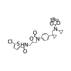 CC(C)(C)OC(=O)N(CC1(c2ccc(N3CC(CNC(=O)c4ccc(Cl)s4)OC3=O)cc2)CC1)C1CC1